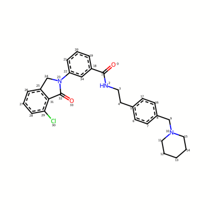 O=C(NCCc1ccc(CN2CCCCC2)cc1)c1cccc(N2Cc3cccc(Cl)c3C2=O)c1